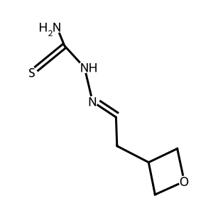 NC(=S)NN=CCC1COC1